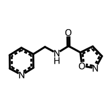 O=C(NCc1cccnc1)c1ccno1